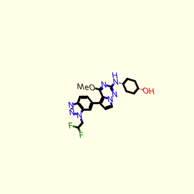 COc1nc(N[C@H]2CC[C@@H](O)CC2)nn2ccc(-c3ccc4nnn(CC(F)F)c4c3)c12